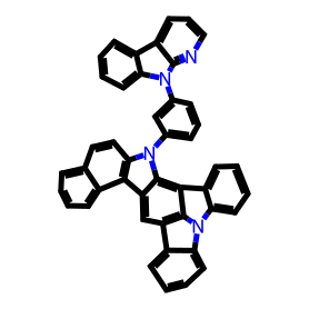 c1cc(-n2c3ccccc3c3cccnc32)cc(-n2c3ccc4ccccc4c3c3cc4c5ccccc5n5c6ccccc6c(c32)c45)c1